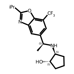 CC(C)c1nc2cc([C@H](C)N[C@H]3CCC[C@@H]3O)cc(C(F)(F)F)c2o1